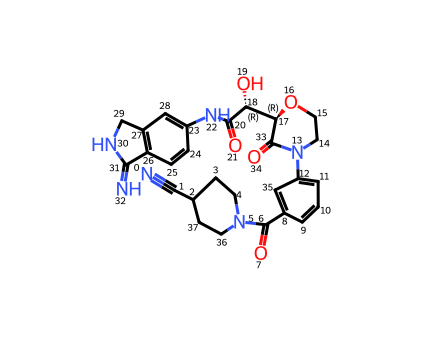 N#CC1CCN(C(=O)c2cccc(N3CCO[C@H]([C@@H](O)C(=O)Nc4ccc5c(c4)CNC5=N)C3=O)c2)CC1